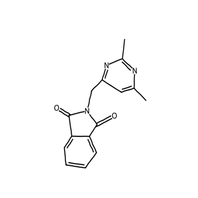 Cc1cc(CN2C(=O)c3ccccc3C2=O)nc(C)n1